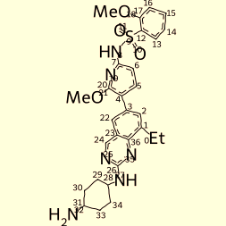 CCc1cc(-c2ccc(NS(=O)(=O)c3ccccc3OC)nc2OC)cc2cnc(NC3CCC(N)CC3)nc12